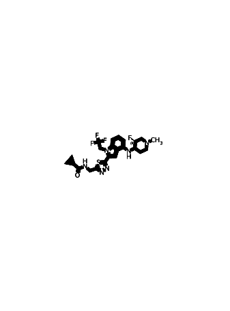 CN1CCC(Nc2cccc3c2cc(-c2nnc(CNC(=O)C4CC4)s2)n3CC(F)(F)F)[C@H](F)C1